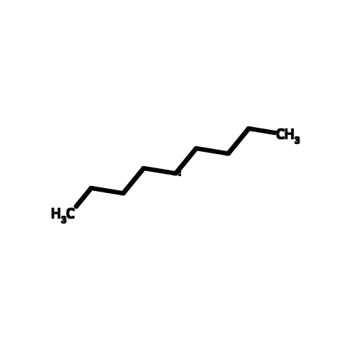 CCCC[C]CCCC